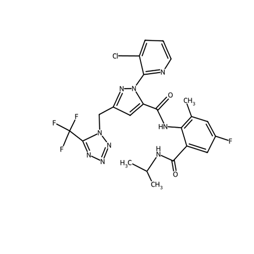 Cc1cc(F)cc(C(=O)NC(C)C)c1NC(=O)c1cc(Cn2nnnc2C(F)(F)F)nn1-c1ncccc1Cl